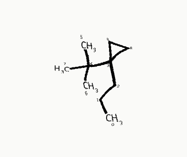 CCCC1(C(C)(C)C)CC1